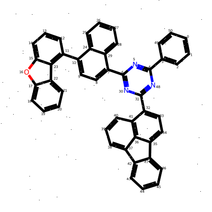 c1ccc(-c2nc(-c3ccc(-c4cccc5oc6ccccc6c45)c4ccccc34)nc(-c3ccc4c5c(cccc35)-c3ccccc3-4)n2)cc1